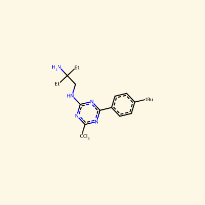 CCC(N)(CC)CNc1nc(-c2ccc(C(C)(C)C)cc2)nc(C(Cl)(Cl)Cl)n1